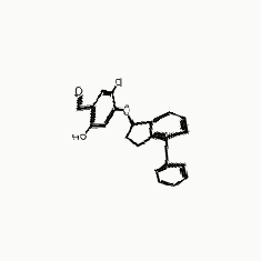 O=Cc1cc(Cl)c(OC2CCc3c(-c4ccccc4)cccc32)cc1O